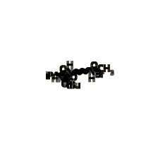 CC(C)C[C@@H](NC(=O)OC(C)(C)C)C(=O)NNC(=O)CCCCCNC(=O)C(C)Br